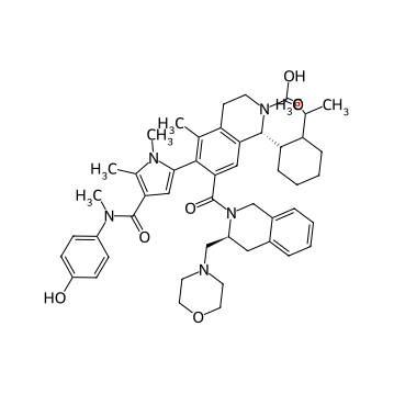 Cc1c2c(cc(C(=O)N3Cc4ccccc4C[C@H]3CN3CCOCC3)c1-c1cc(C(=O)N(C)c3ccc(O)cc3)c(C)n1C)[C@@H](C1CCCCC1C(C)C)N(C(=O)O)CC2